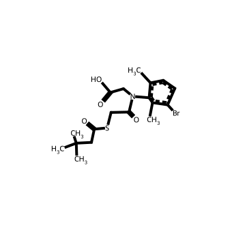 Cc1ccc(Br)c(C)c1N(CC(=O)O)C(=O)CSC(=O)CC(C)(C)C